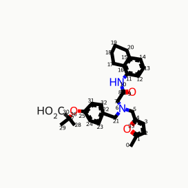 Cc1ccc(CN(CC(=O)Nc2cccc3c2CCCC3)Cc2ccc(OC(C)(C)C(=O)O)cc2)o1